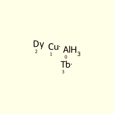 [AlH3].[Cu].[Dy].[Tb]